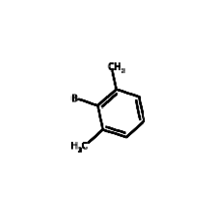 [B]c1c(C)cccc1C